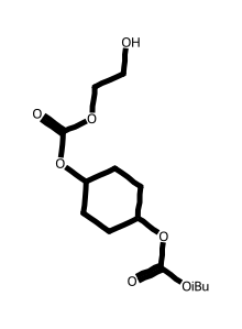 CC(C)COC(=O)OC1CCC(OC(=O)OCCO)CC1